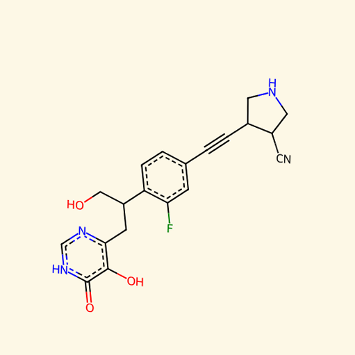 N#CC1CNCC1C#Cc1ccc(C(CO)Cc2nc[nH]c(=O)c2O)c(F)c1